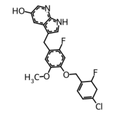 COc1cc(Cc2c[nH]c3ncc(O)cc23)c(F)cc1OCC1=CC=C(Cl)CC1F